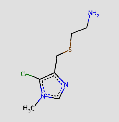 Cn1cnc(CSCCN)c1Cl